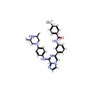 CC1CN(c2ccc(Nc3nc(-c4cccc(NC(=O)c5ccc(C(C)(C)C)cc5)c4)cn4ccnc34)cc2)CC(C)N1